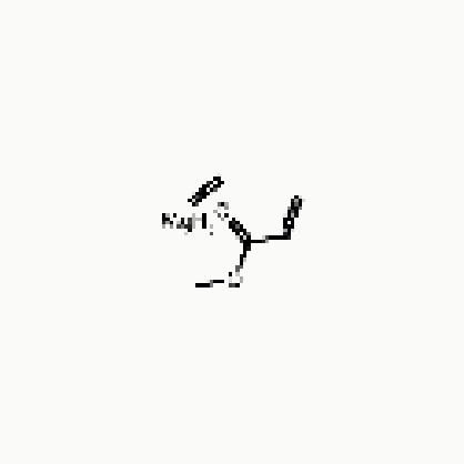 C=C.C=CC(=O)OC.[MgH2]